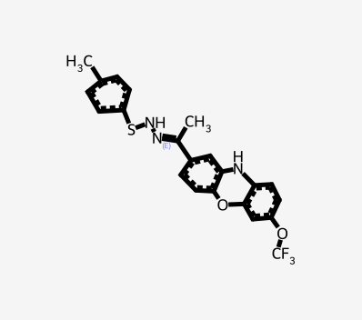 C/C(=N\NSc1ccc(C)cc1)c1ccc2c(c1)Nc1ccc(OC(F)(F)F)cc1O2